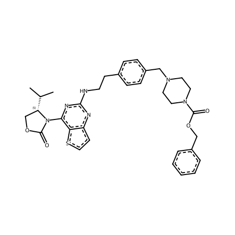 CC(C)[C@H]1COC(=O)N1c1nc(NCCc2ccc(CN3CCN(C(=O)OCc4ccccc4)CC3)cc2)nc2ccsc12